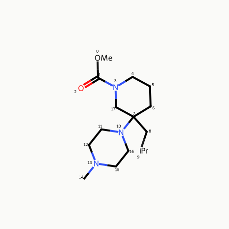 COC(=O)N1CCCC(CC(C)C)(N2CCN(C)CC2)C1